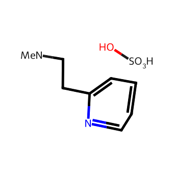 CNCCc1ccccn1.O=S(=O)(O)O